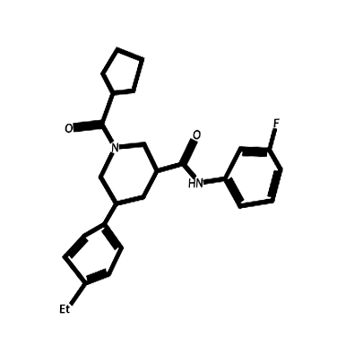 CCc1ccc(C2CC(C(=O)Nc3cccc(F)c3)CN(C(=O)C3CCCC3)C2)cc1